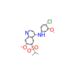 COc1cc(Nc2ccnc3cc(OC)c(S(=O)(=O)C(C)C)cc23)ccc1Cl